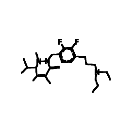 C=C1C(C)=C(C)C(C(C)C)N(C)N1Cc1ccc(CCCN(CC)CCC)c(F)c1F